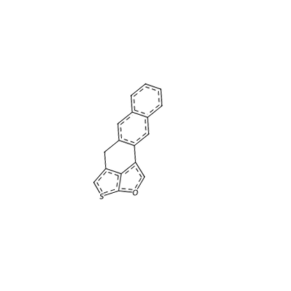 c1ccc2cc3c(cc2c1)Cc1csc2occ-3c12